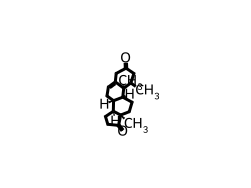 CC1CC(=O)CC2=CC[C@@H]3[C@@H](CC[C@]4(C)C(=O)CC[C@@H]34)[C@]21C